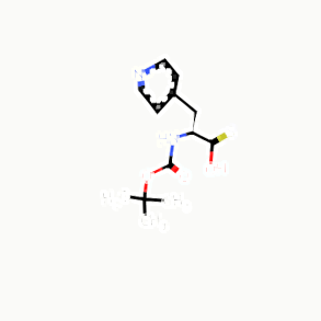 CC(C)(C)OC(=O)N[C@@H](Cc1ccncc1)C(O)=S